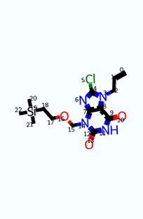 C=CCn1c(Cl)nc2c1c(=O)[nH]c(=O)n2COCC[Si](C)(C)C